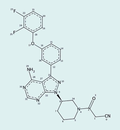 N#CCC(=O)N1CCC[C@@H](n2nc(-c3cccc(Oc4cccc(F)c4F)c3)c3c(N)ncnc32)C1